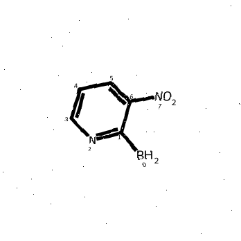 Bc1ncccc1[N+](=O)[O-]